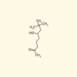 CC(=O)CCCC(O)C[N+](C)(C)C